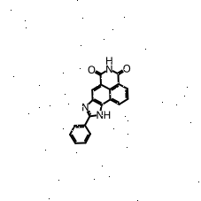 O=C1NC(=O)c2cc3nc(-c4ccccc4)[nH]c3c3cccc1c23